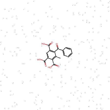 Cc1c(C(=O)O)c(C(=O)O)cc(C(=O)O)c1C(=O)c1ccccc1